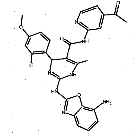 COc1ccc(C2N=C(Nc3nc4cccc(N)c4o3)NC(C)=C2C(=O)Nc2cc(C(C)=O)ccn2)c(Cl)c1